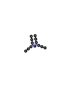 c1ccc(-c2ccc(-c3ccc(N4c5ccc(-c6ccc(-c7ccccc7)cc6)cc5B5c6cc(-c7ccc(-c8ccccc8)cc7)ccc6N(c6ccc(-c7ccc(-c8ccccc8)cc7)cc6)c6cccc4c65)cc3)cc2)cc1